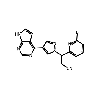 N#CCC(c1cccc(Br)n1)n1cc(-c2ncnc3[nH]ccc23)cn1